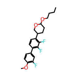 CCCCOC1CCC(c2ccc(-c3ccc(OC)c(F)c3)c(F)c2F)CO1